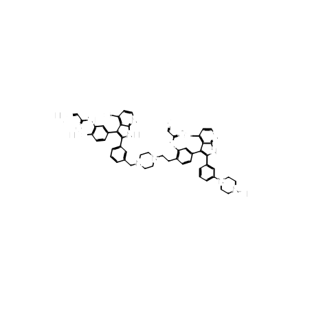 C=CC(=O)Nc1cc(-c2c(-c3cccc(CN4CCN(CCc5ccc(-c6c(-c7cccc(N8CCN(C)CC8)c7)[nH]c7nccc(Cl)c67)cc5NC(=O)C=C)CC4)c3)[nH]c3nccc(Cl)c23)ccc1C